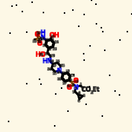 CCOC(=O)CN(CC1CC1)S(=O)(=O)c1ccc(N2CCC(NC[C@H](O)c3ccc(O)c(NS(C)(=O)=O)c3)CC2)cc1